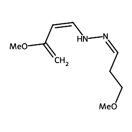 C=C(/C=C\N/N=C\CCOC)OC